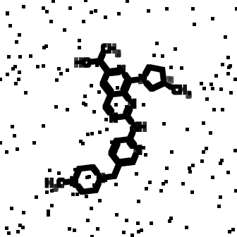 CC(O)c1cc2cnc(Nc3ccc(CN4CCN(C)CC4)cn3)nc2c(N2CC[C@@H](C)C2)n1